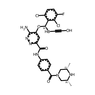 C[C@@H]1CN(C(=O)c2ccc(NC(=O)c3cc(O[C@H](BC#CO)c4c(Cl)ccc(F)c4Cl)c(N)nn3)cc2)C[C@H](C)N1